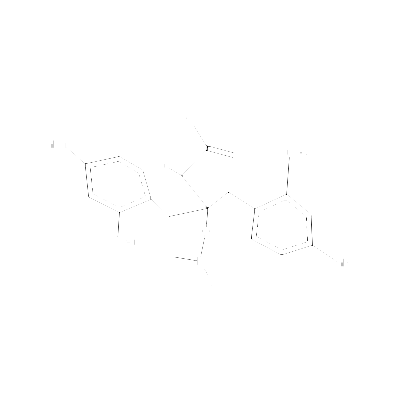 C=C(CCC)C(CC)C(Cc1ccc(CCCC)cc1CCCC)(Cc1ccc(CCCC)cc1CCCC)OP(O)O